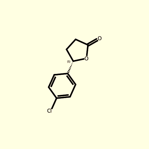 O=C1CC[C@@H](c2ccc(Cl)cc2)O1